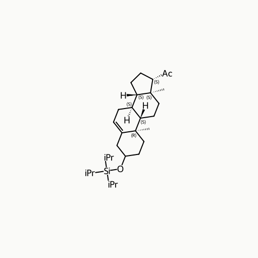 CC(=O)[C@H]1CC[C@H]2[C@@H]3CC=C4CC(O[Si](C(C)C)(C(C)C)C(C)C)CC[C@]4(C)[C@H]3CC[C@]12C